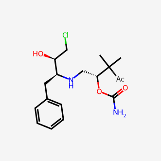 CC(=O)C(C)(C)[C@@H](CN[C@@H](Cc1ccccc1)[C@@H](O)CCl)OC(N)=O